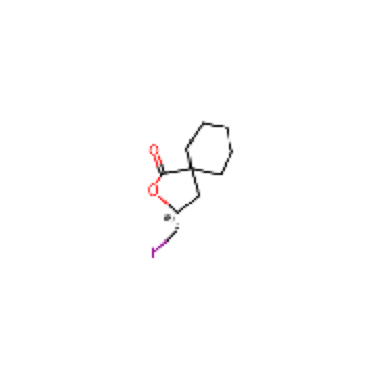 O=C1O[C@@H](CI)CC12CCCCC2